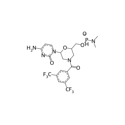 CN(C)[PH](=O)OCC1CN(C(=O)c2cc(C(F)(F)F)cc(C(F)(F)F)c2)CC(n2ccc(N)nc2=O)O1